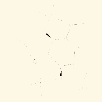 COC1O[C@H](CO)[C@@H](O[Si](C)(C)C)[C@H](O[Si](C)(C)C)[C@H]1O[Si](C)(C)C